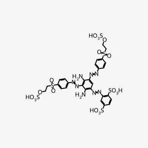 Nc1c(/N=N/c2ccc(S(=O)(=O)CCOS(=O)(=O)O)cc2)cc(/N=N/c2cc(S(=O)(=O)O)ccc2S(=O)(=O)O)c(N)c1/N=N/c1ccc(S(=O)(=O)CCOS(=O)(=O)O)cc1